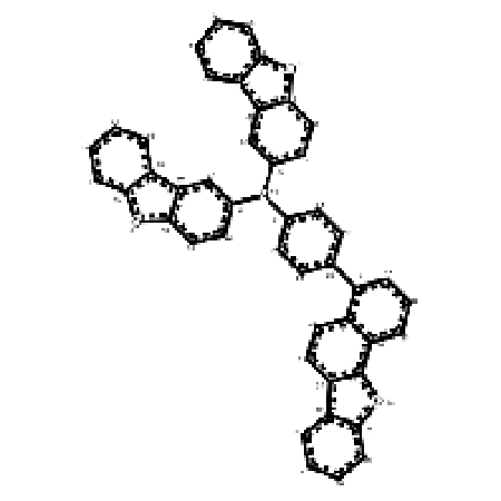 c1ccc2c(c1)oc1ccc(N(c3ccc(-c4cccc5c4ccc4c6ccccc6oc54)cc3)c3ccc4oc5ccccc5c4c3)cc12